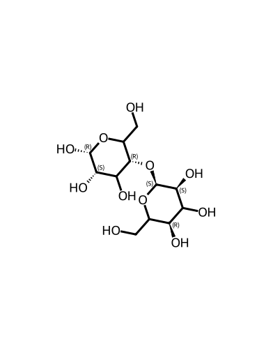 OCC1O[C@@H](O[C@H]2C(CO)O[C@@H](O)[C@@H](O)C2O)[C@@H](O)C(O)[C@H]1O